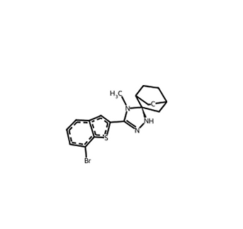 CN1C(c2cc3cccc(Br)c3s2)=NN[C@@]12CC1CCC2CC1